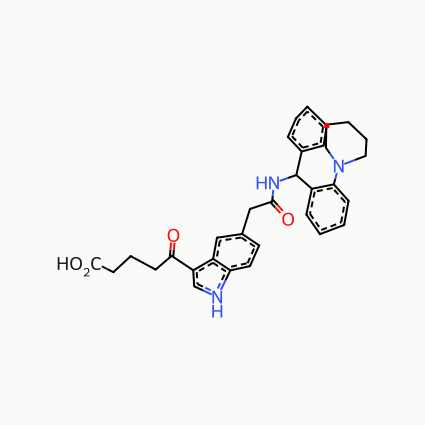 O=C(O)CCCC(=O)c1c[nH]c2ccc(CC(=O)NC(c3ccccc3)c3ccccc3N3CCCCC3)cc12